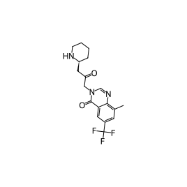 Cc1cc(C(F)(F)F)cc2c(=O)n(CC(=O)C[C@@H]3CCCCN3)cnc12